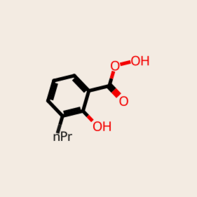 CCCc1cccc(C(=O)OO)c1O